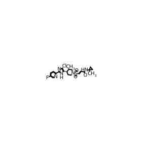 C[C@H]1CN(S(=O)(=O)C=CC(=O)NC2(C)CC2)CC[C@H]1c1[nH]c(-c2ccc(F)cn2)nc1Cl